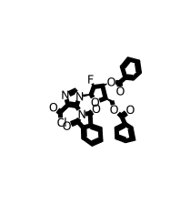 O=C(OC[C@H]1O[C@@H](n2cnc(C(=O)Cl)c2N2C(=O)c3ccccc3C2=O)[C@@H](F)[C@@H]1OC(=O)c1ccccc1)c1ccccc1